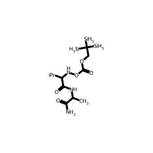 CC(NC(=O)C(NOC(=O)OCC([SiH3])([SiH3])[SiH3])C(C)C)C(N)=O